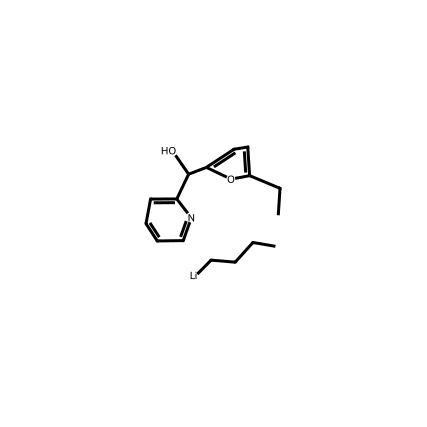 CCc1ccc(C(O)c2ccccn2)o1.[Li][CH2]CCC